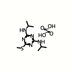 CSc1nc(NC(C)C)nc(NC(C)C)n1.O=S(=O)(O)O